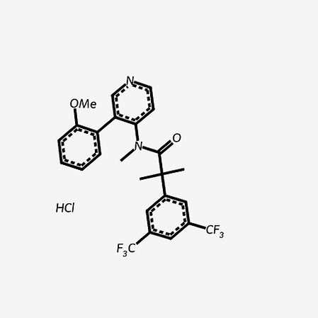 COc1ccccc1-c1cnccc1N(C)C(=O)C(C)(C)c1cc(C(F)(F)F)cc(C(F)(F)F)c1.Cl